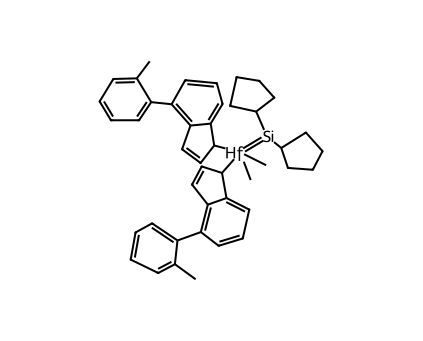 Cc1ccccc1-c1cccc2c1C=C[CH]2[Hf]([CH3])([CH3])([CH]1C=Cc2c(-c3ccccc3C)cccc21)=[Si](C1CCCC1)C1CCCC1